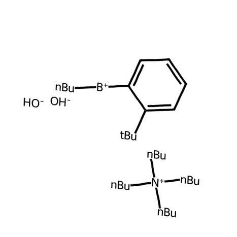 CCCC[B+]c1ccccc1C(C)(C)C.CCCC[N+](CCCC)(CCCC)CCCC.[OH-].[OH-]